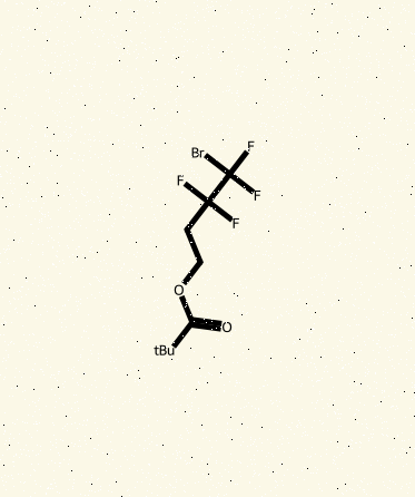 [CH2]C([CH2])(C)C(=O)OCCC(F)(F)C(F)(F)Br